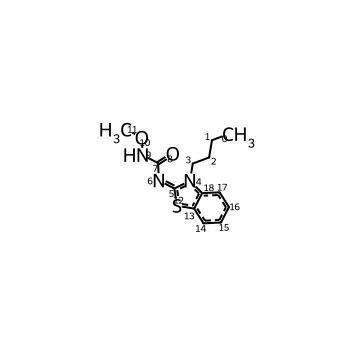 CCCCn1c(=NC(=O)NOC)sc2ccccc21